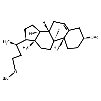 CC(=O)O[C@H]1CC[C@@]2(C)C(=CC[C@H]3[C@@H]4CC[C@H]([C@H](C)CCOC(C)(C)C)[C@@]4(C)CC[C@@H]32)C1